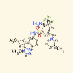 CC1CC(c2cccc(NS(=O)(=O)c3cc(CN4CCC[C@H](C)C4)cc(C(F)(F)F)c3N)c2)(c2nncn2C)C1